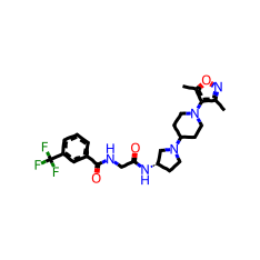 Cc1noc(C)c1N1CCC(N2CC[C@H](NC(=O)CNC(=O)c3cccc(C(F)(F)F)c3)C2)CC1